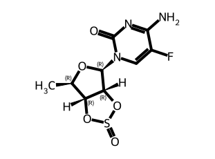 C[C@H]1O[C@@H](n2cc(F)c(N)nc2=O)[C@@H]2OS(=O)O[C@@H]21